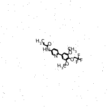 C=CC(=O)Nc1ccc(-c2cc(OC)c(OCC(F)(F)F)c(OC)c2)nc1